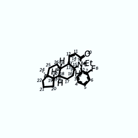 CC[N+]1(c2ccccc2F)C(=O)C=C[C@@]2(C)[C@H]1CC[C@H]1[C@@H]3CCC[C@@]3(C)CC[C@@H]12